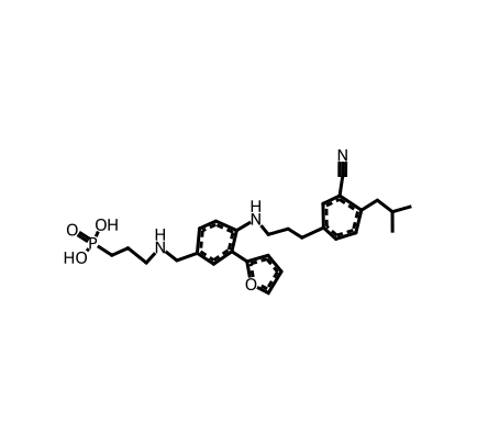 CC(C)Cc1ccc(CCCNc2ccc(CNCCCP(=O)(O)O)cc2-c2ccco2)cc1C#N